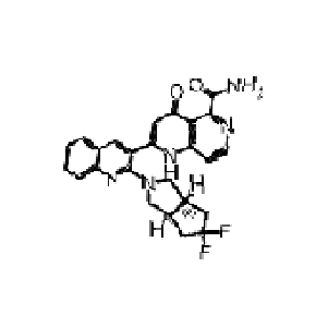 NC(=O)c1nccc2[nH]c(-c3cc4ccccc4nc3N3C[C@@H]4CC(F)(F)C[C@H]4C3)cc(=O)c12